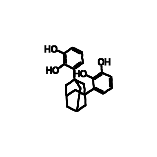 Oc1cccc(C23CC4CC(C2)CC(c2cccc(O)c2O)(C4)C3)c1O